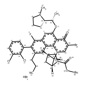 Br.C[C@H](Oc1nc2c(F)c(-c3cccc(Cl)c3Cl)c(CCC#N)cc2c2c1c(=O)c(Br)cn2[C@H]1[C@@H]2C[C@H]1N(C(=O)OC(C)(C)C)C2)[C@@H]1CCCN1C